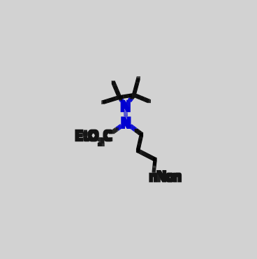 [CH2]CCCCCCCCCCCN(C(=O)OCC)N1C(C)(C)C1(C)C